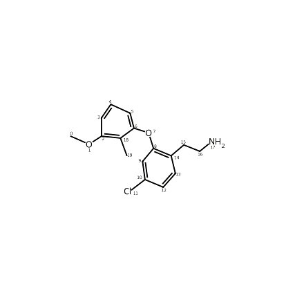 COc1cccc(Oc2cc(Cl)ccc2CCN)c1C